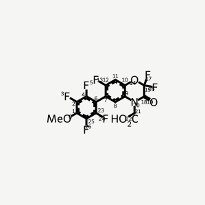 COc1c(F)c(F)c(-c2cc3c(cc2F)OC(F)(F)C(=O)N3CC(=O)O)c(F)c1F